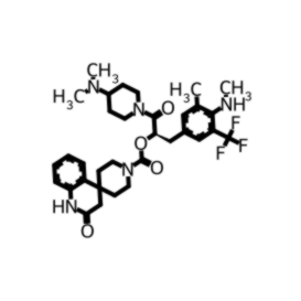 CNc1c(C)cc(C[C@@H](OC(=O)N2CCC3(CC2)CC(=O)Nc2ccccc23)C(=O)N2CCC(N(C)C)CC2)cc1C(F)(F)F